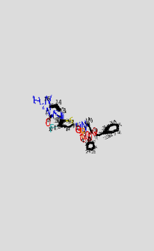 C[C@H](NP(=O)(OC[C@@H]1C[C@H](F)[C@H](n2ccc(N)nc2=O)S1)Oc1ccccc1)C(=O)OCc1ccccc1